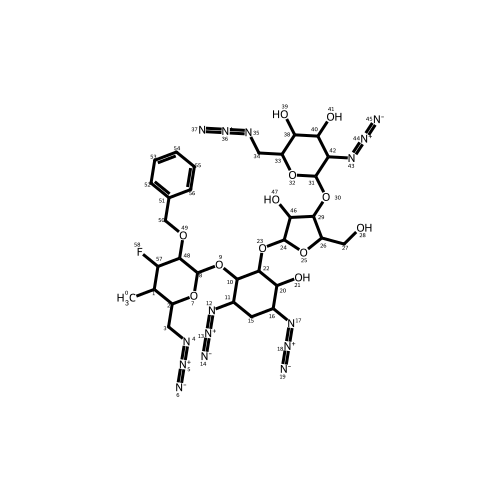 CC1C(CN=[N+]=[N-])OC(OC2C(N=[N+]=[N-])CC(N=[N+]=[N-])C(O)C2OC2OC(CO)C(OC3OC(CN=[N+]=[N-])C(O)C(O)C3N=[N+]=[N-])C2O)C(OCc2ccccc2)C1F